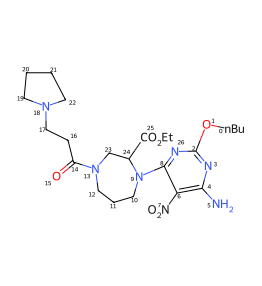 CCCCOc1nc(N)c([N+](=O)[O-])c(N2CCCN(C(=O)CCN3CCCC3)CC2C(=O)OCC)n1